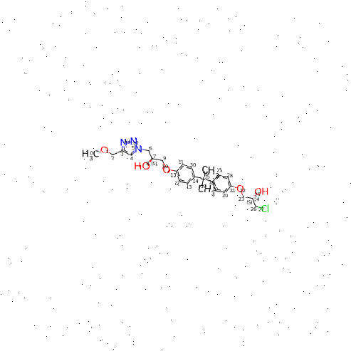 COCc1cn(C[C@H](O)COc2ccc(C(C)(C)c3ccc(OC[C@H](O)CCl)cc3)cc2)nn1